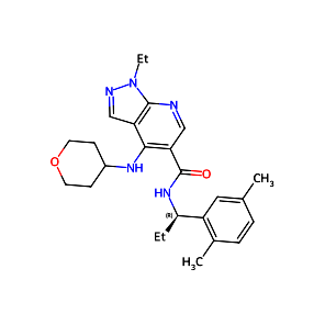 CC[C@@H](NC(=O)c1cnc2c(cnn2CC)c1NC1CCOCC1)c1cc(C)ccc1C